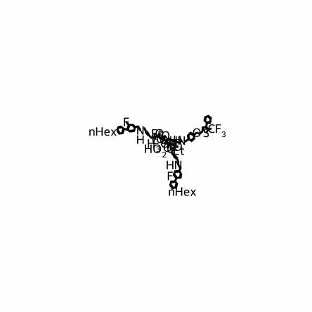 CCCCCCc1ccc(-c2ccc(CNCC#CCC(CC)(C(=O)O)C(=O)OC(=O)C(C)(CC#CCNCc3ccc(OCc4cc(-c5ccccc5)c(C(F)(F)F)s4)cc3)C(=O)OC(=O)C(CC)(CC#CCNCc3ccc(-c4ccc(CCCCCC)cc4)c(F)c3)C(=O)O)cc2F)cc1